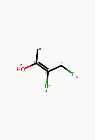 C/C(O)=C(/Br)CF